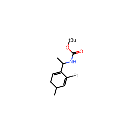 CCC1=CC(C)CC=C1C(C)NC(=O)OC(C)(C)C